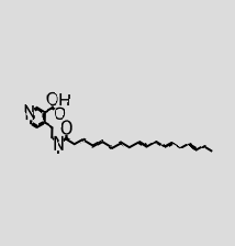 CCC=CCC=CCC=CCCCCCCCC(=O)N(C)CCc1ccncc1C(=O)O